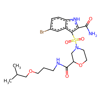 CC(C)COCCCNC(=O)C1CN(S(=O)(=O)c2c(C(N)=O)[nH]c3ccc(Br)cc23)CCO1